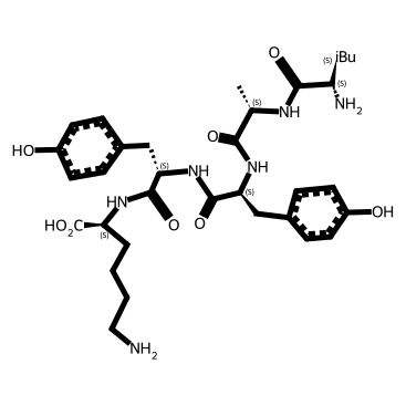 CC[C@H](C)[C@H](N)C(=O)N[C@@H](C)C(=O)N[C@@H](Cc1ccc(O)cc1)C(=O)N[C@@H](Cc1ccc(O)cc1)C(=O)N[C@@H](CCCCN)C(=O)O